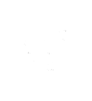 CNC(=O)c1cnc(Nc2cc(C)c(F)cn2)cc1Nc1cccc(-c2nc[nH]n2)c1OC(F)F